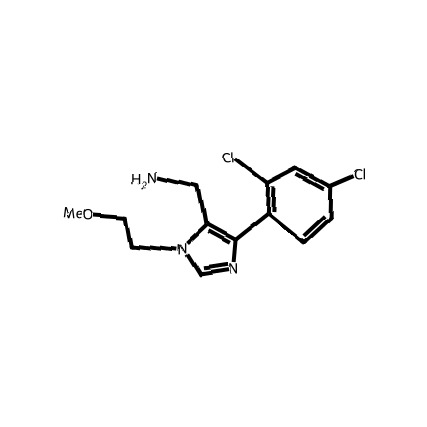 COCCn1cnc(-c2ccc(Cl)cc2Cl)c1CN